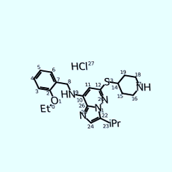 CCOc1ccccc1CNc1cc(SC2CCNCC2)nn2c(C(C)C)cnc12.Cl